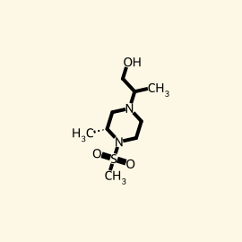 CC(CO)N1CCN(S(C)(=O)=O)[C@H](C)C1